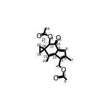 CC(=O)OCC1=C(C)C=C2C(=O)[C@](C)(OC(C)=O)C3(CC3)C(C)=C21